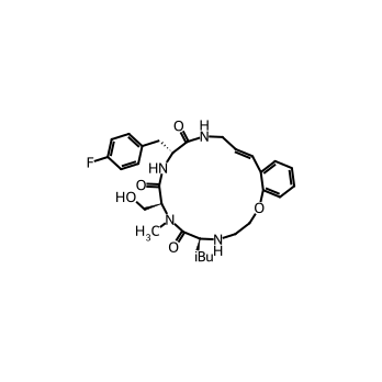 CCC(C)[C@@H]1NCCOc2ccccc2/C=C/CNC(=O)[C@@H](Cc2ccc(F)cc2)NC(=O)[C@H](CO)N(C)C1=O